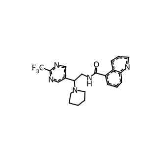 O=C(NCC(c1cnc(C(F)(F)F)nc1)N1CCCCC1)c1cccc2ncccc12